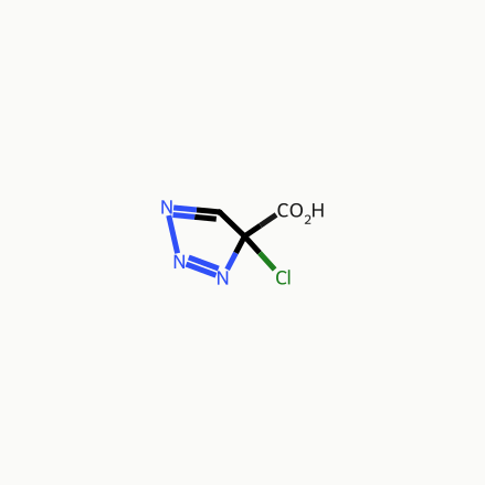 O=C(O)C1(Cl)C=NN=N1